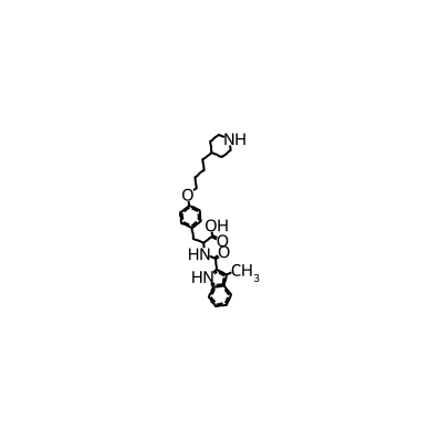 Cc1c(C(=O)NC(Cc2ccc(OCCCCC3CCNCC3)cc2)C(=O)O)[nH]c2ccccc12